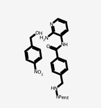 CCCCCNCc1ccc(C(=O)Nc2cccnc2N)cc1.O=[N+]([O-])c1ccc(CO)cc1